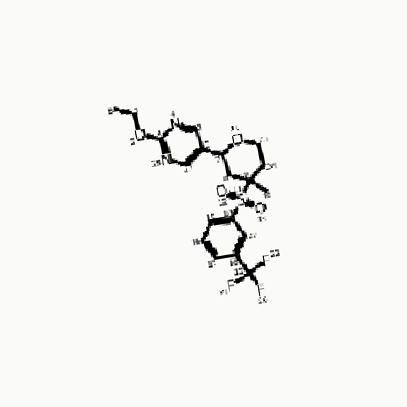 CCOc1ncc(C2CC(C)(S(=O)(=O)c3cccc(C(F)(F)F)c3)CCO2)cn1